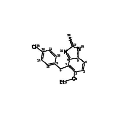 [CH2]COc1ccc2c(c1Cc1ccc(Cl)cc1)=NC(=S)N=2